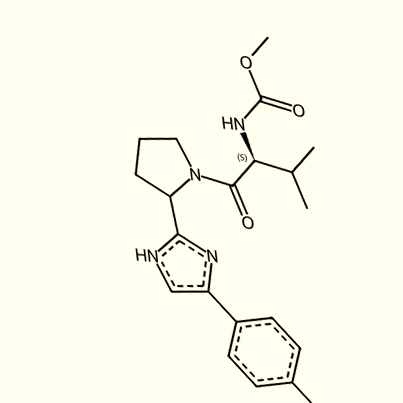 COC(=O)N[C@H](C(=O)N1CCCC1c1nc(-c2ccc(Br)cc2)c[nH]1)C(C)C